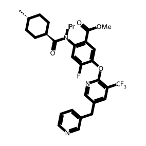 COC(=O)c1cc(Oc2ncc(Cc3cccnc3)cc2C(F)(F)F)c(F)cc1N(C(=O)[C@H]1CC[C@H](C)CC1)C(C)C